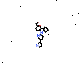 c1cncc(-c2ccc(-n3c4ccccc4c4c5occc5ccc43)nc2)c1